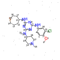 COc1ccc(Nc2nc(NC3CCCSCC3)nc(N(C)C3CCN(C)CC3)n2)cc1Cl